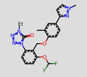 CCn1nnn(-c2cccc(OC(F)F)c2COc2ccc(-c3ccn(C)n3)cc2C)c1=O